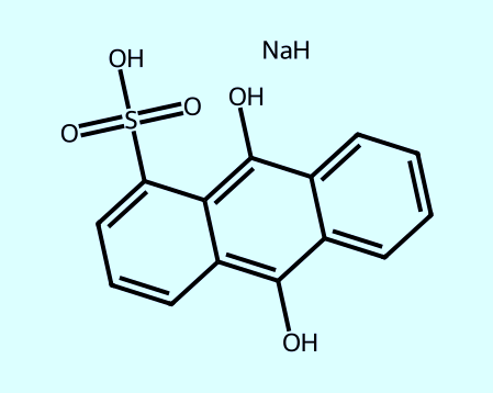 O=S(=O)(O)c1cccc2c(O)c3ccccc3c(O)c12.[NaH]